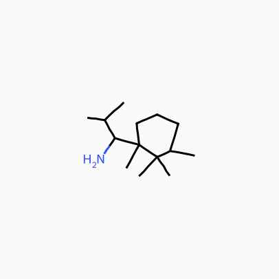 CC(C)C(N)C1(C)CCCC(C)C1(C)C